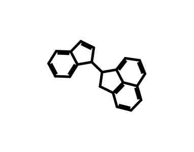 C1=CC(C2Cc3cccc4cccc2c34)c2ccccc21